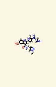 CCn1ncc(CN(C)C(=O)c2cc(-c3ccc(NC4CNC4)c(C)n3)nc3ccc(O)cc23)c1C